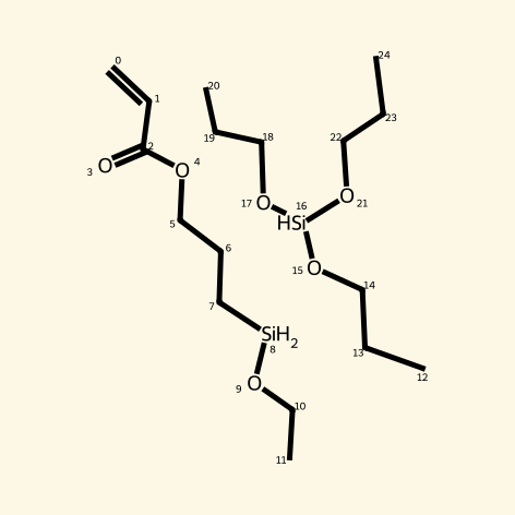 C=CC(=O)OCCC[SiH2]OCC.CCCO[SiH](OCCC)OCCC